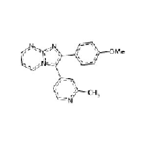 COc1ccc(-c2nc3ncccn3c2-c2ccnc(C)c2)cc1